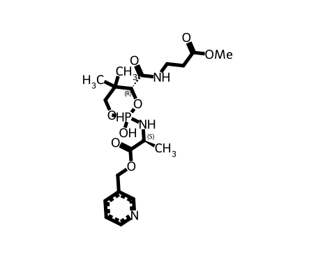 COC(=O)CCNC(=O)[C@@H]1O[PH](O)(N[C@@H](C)C(=O)OCc2cccnc2)OCC1(C)C